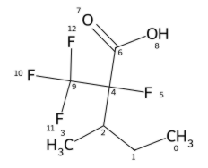 CCC(C)C(F)(C(=O)O)C(F)(F)F